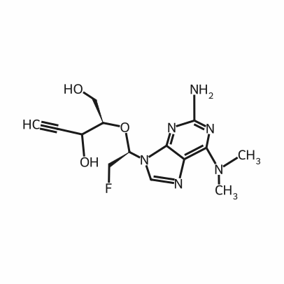 C#CC(O)[C@@H](CO)O[C@H](CF)n1cnc2c(N(C)C)nc(N)nc21